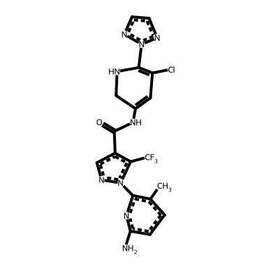 Cc1ccc(N)nc1-n1ncc(C(=O)NC2=CC(Cl)=C(n3nccn3)NC2)c1C(F)(F)F